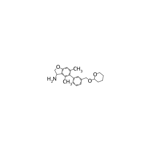 Cc1cc2c(c(C)c1-c1cccc(COC3CCCCO3)c1)C(N)CO2